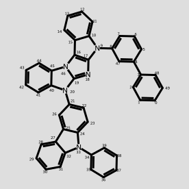 c1ccc(-c2cccc(-n3c4ccccc4c4c3nc3n(-c5ccc6c(c5)c5ccccc5n6-c5ccccc5)c5ccccc5n43)c2)cc1